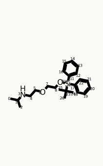 CC(C)NCCOCCO[Si](c1ccccc1)(c1ccccc1)C(C)(C)C